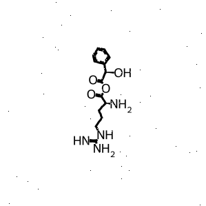 N=C(N)NCCC[C@H](N)C(=O)OC(=O)[C@H](O)c1ccccc1